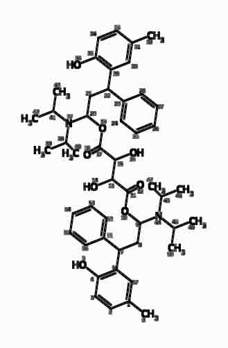 Cc1ccc(O)c(C(CC(OC(=O)C(O)C(O)C(=O)OC(CC(c2ccccc2)c2cc(C)ccc2O)N(C(C)C)C(C)C)N(C(C)C)C(C)C)c2ccccc2)c1